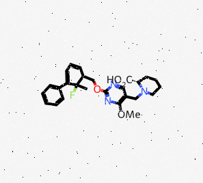 COc1nc(OCC2C=CC=C(c3ccccc3)C2(C)F)ncc1CN1CCCC[C@H]1C(=O)O